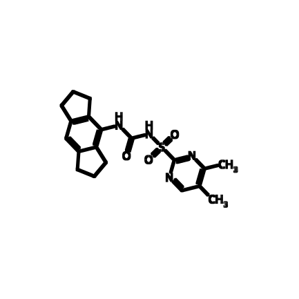 Cc1cnc(S(=O)(=O)NC(=O)Nc2c3c(cc4c2CCC4)CCC3)nc1C